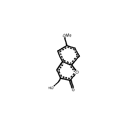 COc1ccc2oc(=O)c(O)cc2c1